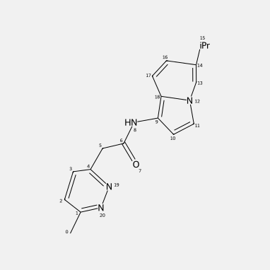 Cc1ccc(CC(=O)Nc2ccn3cc(C(C)C)ccc23)nn1